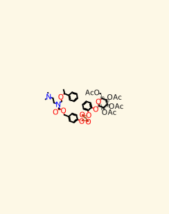 CC(=O)OC[C@H]1O[C@@H](Oc2ccccc2OS(=O)(=O)Oc2ccc(COC(=O)N(CCN(C)C)COC(C)c3ccccc3)cc2)[C@H](OC(C)=O)[C@@H](OC(C)=O)[C@H]1OC(C)=O